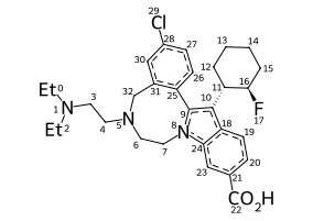 CCN(CC)CCN1CCn2c(c([C@@H]3CCCC[C@H]3F)c3ccc(C(=O)O)cc32)-c2ccc(Cl)cc2C1